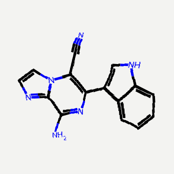 N#Cc1c(-c2c[nH]c3ccccc23)nc(N)c2nccn12